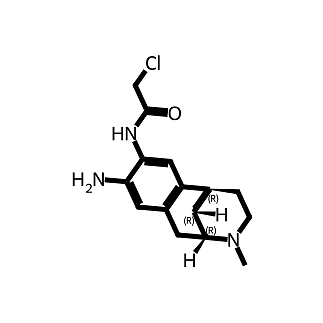 CN1CC[C@]23CCCC[C@H]2[C@H]1Cc1cc(N)c(NC(=O)CCl)cc13